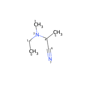 C[CH]N(C)C(C)C#N